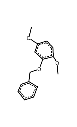 COc1ccc(OC)c(OCc2ccccc2)c1